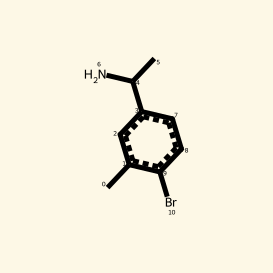 Cc1cc(C(C)N)ccc1Br